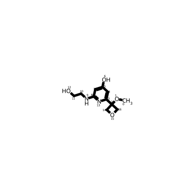 COC1(c2cc(O)cc(NCCO)n2)COC1